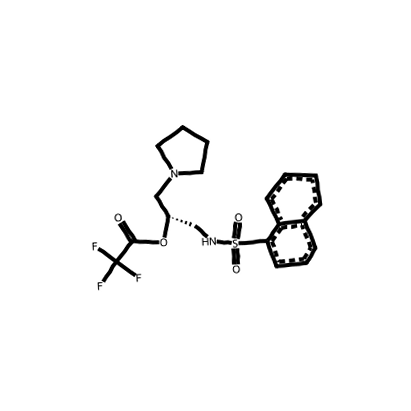 O=C(O[C@@H](CNS(=O)(=O)c1cccc2ccccc12)CN1CCCC1)C(F)(F)F